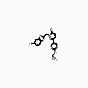 O=c1ccc(-c2cnc(OCC(F)(F)F)nc2)nn1Cc1nc2cc(Cl)ccc2o1